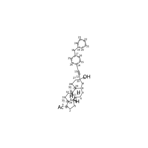 CC(=O)[C@H]1CC[C@H]2[C@@H]3CCC4CC(O)(C#Cc5ccc(Cc6ccccc6)cc5)CC[C@]4(C)[C@H]3CC[C@]12C